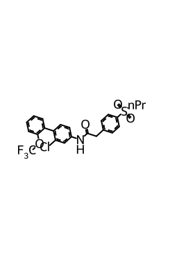 CCCS(=O)(=O)c1ccc(CC(=O)Nc2ccc(-c3ccccc3OC(F)(F)F)c(Cl)c2)cc1